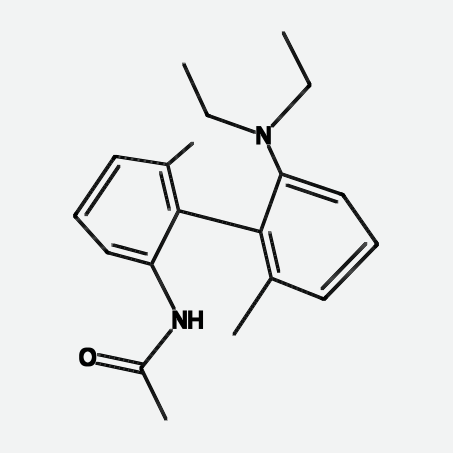 CCN(CC)c1cccc(C)c1-c1c(C)cccc1NC(C)=O